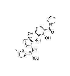 Cc1ccc([C@H](Nc2no[n+](O)c2Nc2cccc(C(=O)N3CCCC3)c2O)C(C)(C)C)s1